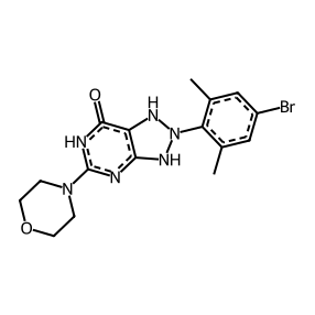 Cc1cc(Br)cc(C)c1N1Nc2nc(N3CCOCC3)[nH]c(=O)c2N1